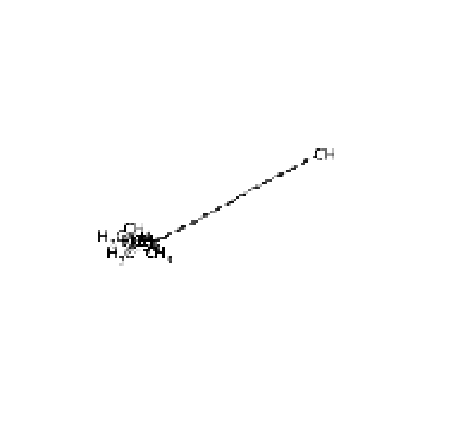 C#CC#CC#CC#CC#CC#CC#CC#CC#CC#CC#CC#CC#CC#C[Si](C)(C)CC(C)(C)O[Si](C)(C)C